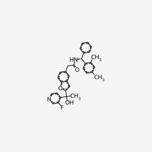 Cc1ccc([C@@H](NC(=O)Cc2ccc3oc(C(C)(O)c4ccncc4F)cc3c2)c2ccccc2)c(C)c1